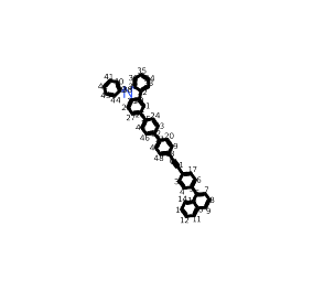 C(#Cc1ccc(-c2cccc3ccccc23)cc1)c1ccc(-c2ccc(-c3ccc4c(c3)c3ccccc3n4-c3ccccc3)cc2)cc1